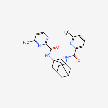 Cc1cccc(C(=O)NC23CC4CC(C2)CC(NC(=O)c2nccc(C(F)(F)F)n2)(C4)C3)n1